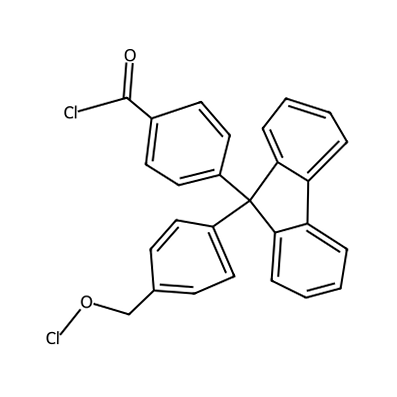 O=C(Cl)c1ccc(C2(c3ccc(COCl)cc3)c3ccccc3-c3ccccc32)cc1